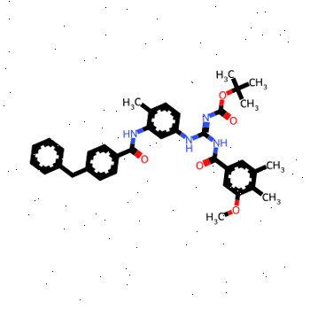 COc1cc(C(=O)N/C(=N\C(=O)OC(C)(C)C)Nc2ccc(C)c(NC(=O)c3ccc(Cc4ccccc4)cc3)c2)cc(C)c1C